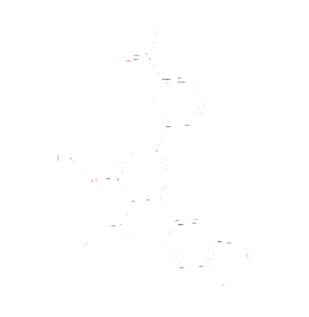 COC(=O)C(C(=O)OC)C(/C=C/c1cccc([N+](=O)[O-])c1)c1ccc2c(c1)OCO2